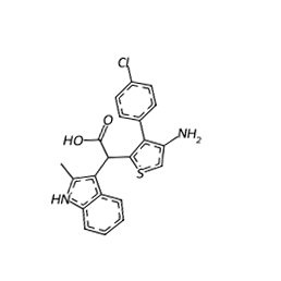 Cc1[nH]c2ccccc2c1C(C(=O)O)c1scc(N)c1-c1ccc(Cl)cc1